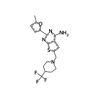 Cc1ccc(-c2nc(N)c3cc(CN4CCC(C(F)(F)F)CC4)sc3n2)o1